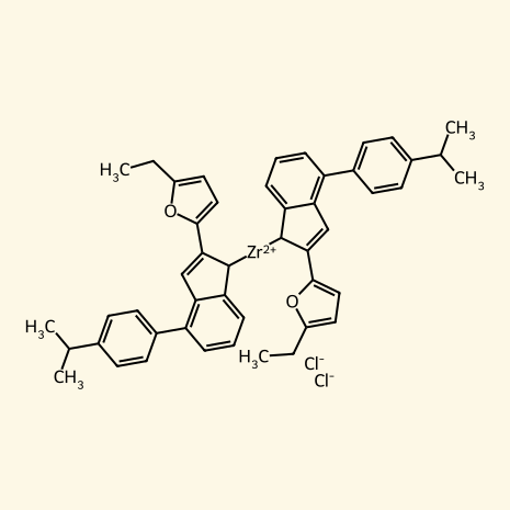 CCc1ccc(C2=Cc3c(-c4ccc(C(C)C)cc4)cccc3[CH]2[Zr+2][CH]2C(c3ccc(CC)o3)=Cc3c(-c4ccc(C(C)C)cc4)cccc32)o1.[Cl-].[Cl-]